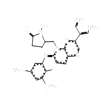 CN/C=C(\C=N)c1cnc2cc/c(=N\c3cc(OC)cc(OC)c3F)n(CC3CCC(=O)N3C)c2n1